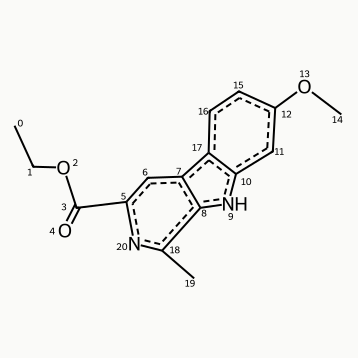 CCOC(=O)c1cc2c([nH]c3cc(OC)ccc32)c(C)n1